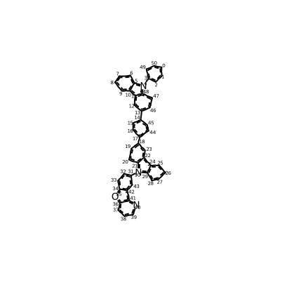 c1ccc(-n2c3ccccc3c3cc(-c4ccc(-c5ccc6c(c5)c5ccccc5n6-c5ccc6oc7cccnc7c6c5)cc4)ccc32)cc1